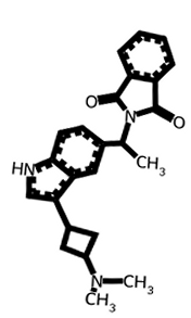 CC(c1ccc2[nH]cc(C3CC(N(C)C)C3)c2c1)N1C(=O)c2ccccc2C1=O